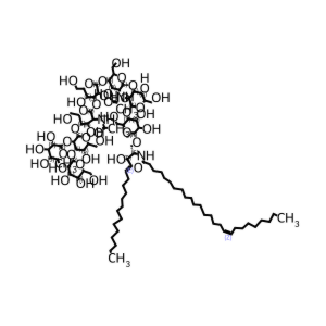 CCCCCCCC/C=C\CCCCCCCCCCCCCCCC(=O)N[C@@H](CO[C@@H]1OC(CO)[C@@H](O[C@@H]2OC(CO)[C@H](O)[C@H](O[C@@H]3OC(CO)[C@@H](O[C@@H]4OC(CO)[C@H](O)[C@H](O[C@@H]5OC(CO)[C@@H](O[C@@H]6OC(CO)[C@H](O)[C@H](O[C@H]7OC(CO)[C@H](O)[C@H](O)C7O)C6O[C@H]6OC(C)[C@@H](O)C(O)[C@@H]6O)[C@H](O)C5NC(C)=O)C4O)[C@H](O)C3NC(C)=O)C2O)[C@H](O)C1O)[C@H](O)/C=C/CCCCCCCCCCCCC